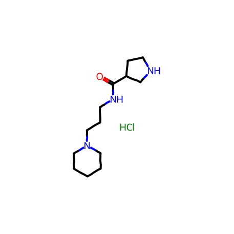 Cl.O=C(NCCCN1CCCCC1)C1CCNC1